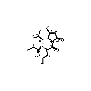 CCC[C@@H](NC(=O)CC)C(=O)N1C(=O)C=C(C)[C@H]1CC(C)C